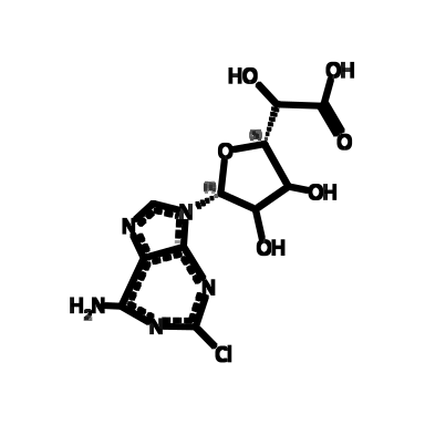 Nc1nc(Cl)nc2c1ncn2[C@@H]1O[C@H](C(O)C(=O)O)C(O)C1O